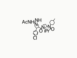 CC(=O)NC(=N)N1CC(C(=O)N2CCC(N(C(=O)C(C)C)C3CCC(C)CC3)C2)C(c2ccc(Cl)cc2)C1